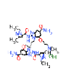 CCn1nc(C)cc1C(=O)Nc1nc2cc(C(N)=O)cc(OCCCNC)c2n1CCC[C@H]1COc2cc(C(N)=O)cc3nc(NC(=O)c4cc(C)nn4CC)n1c23.Cl